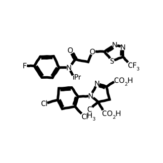 CC(C)N(C(=O)COc1nnc(C(F)(F)F)s1)c1ccc(F)cc1.CC1(C(=O)O)CC(C(=O)O)=NN1c1ccc(Cl)cc1Cl